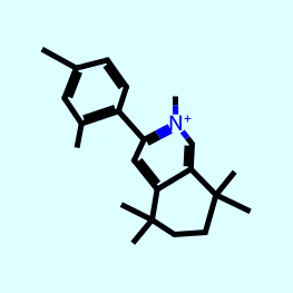 Cc1ccc(-c2cc3c(c[n+]2C)C(C)(C)CCC3(C)C)c(C)c1